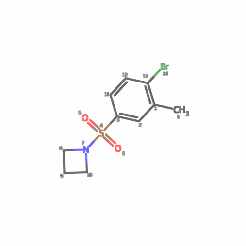 Cc1cc(S(=O)(=O)N2CCC2)ccc1Br